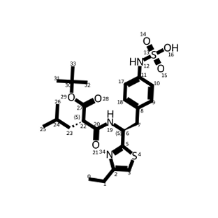 CCc1csc([C@H](Cc2ccc(NS(=O)(=O)O)cc2)NC(=O)[C@H](CC(C)C)C(=O)OC(C)(C)C)n1